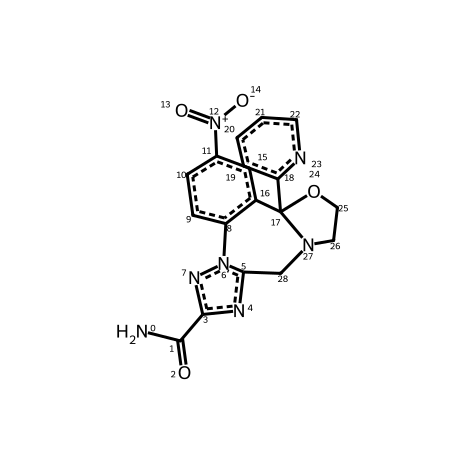 NC(=O)c1nc2n(n1)-c1ccc([N+](=O)[O-])cc1C1(c3ccccn3)OCCN1C2